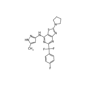 Cc1cc(Nc2nc(C(F)(F)c3ccc(F)cc3)nc3c2SS(N2CCCC2)=N3)n[nH]1